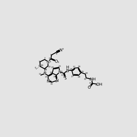 C[C@@H]1CCN(C(=O)CC#N)C[C@@H]1N(C)c1ncnc2c1ccn2C(=S)Nc1ccc(CCNC(=O)O)cc1